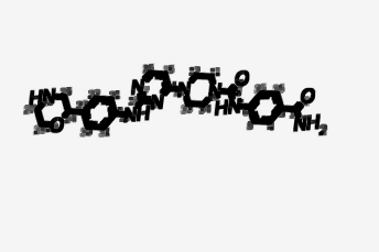 NC(=O)c1ccc(NC(=O)N2CCN(c3ccnc(Nc4ccc(C5CNCCO5)cc4)n3)CC2)cc1